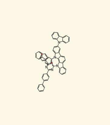 c1ccc(-c2ccc(-c3nc(-c4ccccc4)nc(-n4c5ccccc5c5ccc6c7cc(-n8c9ccccc9c9ccccc98)ccc7n(-c7cccc(-c8ccccc8)c7)c6c54)n3)cc2)cc1